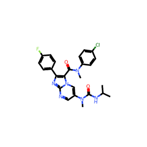 CC(C)NC(=O)N(C)c1cnc2nc(-c3ccc(F)cc3)c(C(=O)N(C)c3ccc(Cl)cc3)n2c1